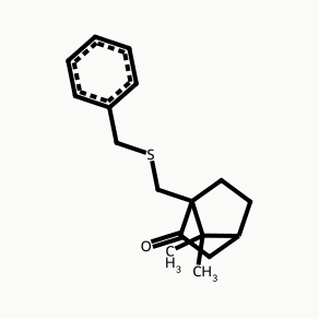 CC1(C)C2CCC1(CSCc1ccccc1)C(=O)C2